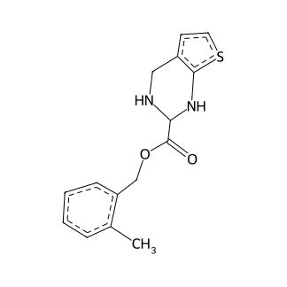 Cc1ccccc1COC(=O)C1NCc2ccsc2N1